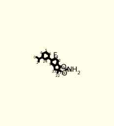 CC(C)c1cccc(-c2cc3c(cc2F)[C@H](OC(N)=O)C(C)(C)C3)c1